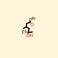 CCCC(=O)CC(C)C[C@@](C)(O)CC